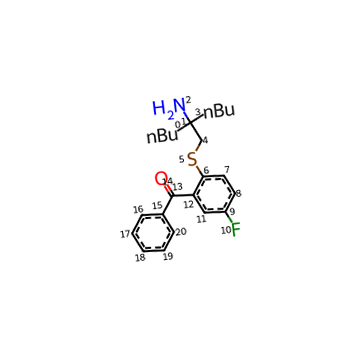 CCCCC(N)(CCCC)CSc1ccc(F)cc1C(=O)c1ccccc1